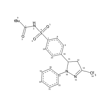 CC(C)(C)C(=O)NS(=O)(=O)c1ccc(C2CC(C(F)(F)F)=NN2c2ccccc2)cc1